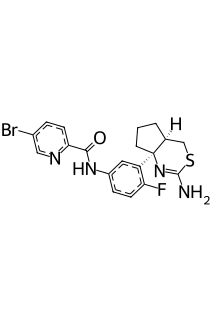 NC1=N[C@@]2(c3cc(NC(=O)c4ccc(Br)cn4)ccc3F)CCC[C@H]2CS1